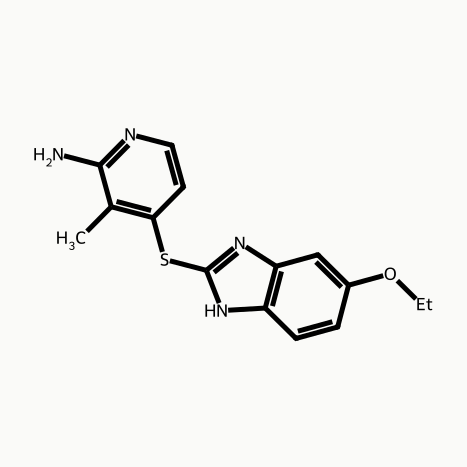 CCOc1ccc2[nH]c(Sc3ccnc(N)c3C)nc2c1